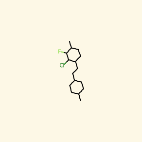 CC1CCC(CCC2CCC(C)C(F)C2Cl)CC1